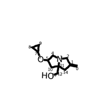 C=C1CN2CC(OC3CC3)CC2(CO)C1